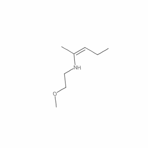 CCC=C(C)NCCOC